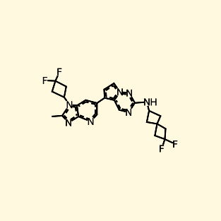 Cc1nc2ncc(-c3ccn4nc(NC5CC6(C5)CC(F)(F)C6)ncc34)cc2n1C1CC(F)(F)C1